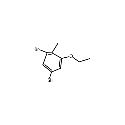 CCOc1cc(S)cc(Br)c1C